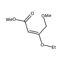 CCOC(=CC(=O)OC)COC